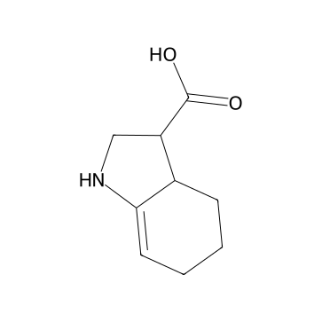 O=C(O)C1CNC2=CCCCC21